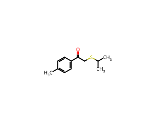 Cc1ccc(C(=O)CSC(C)C)cc1